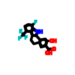 O=C(O)c1cc2c(cc1O)-c1[nH]c3c(F)ccc(C(F)(F)F)c3c1CC2